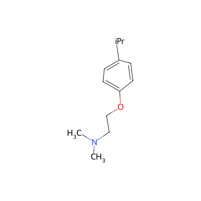 CC(C)c1ccc(OCCN(C)C)cc1